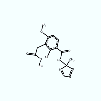 CC1(NC(=O)c2ccc(OC(F)(F)F)c(CC(=O)OC(C)(C)C)c2Cl)N=NN=N1